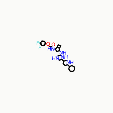 O=C(COc1ccc(F)c(F)c1)NC1C[C@H](NC2CNCC(C3CCC(C4CCCCCC4)NC3)N2)C2CCC12